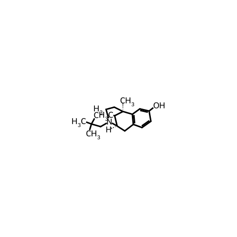 CC1[C@H]2Cc3ccc(O)cc3[C@]1(C)CCN2CC(C)(C)C